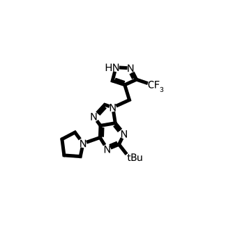 CC(C)(C)c1nc(N2CCCC2)c2ncn(Cc3c[nH]nc3C(F)(F)F)c2n1